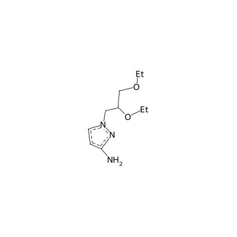 CCOCC(Cn1ccc(N)n1)OCC